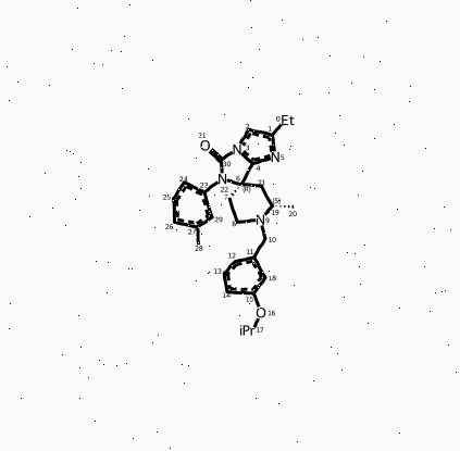 CCc1cn2c(n1)[C@]1(CCN(Cc3cccc(OC(C)C)c3)[C@@H](C)C1)N(c1cccc(C)c1)C2=O